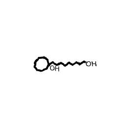 OCCCCCCCCCC1(O)CCCCCCCC1